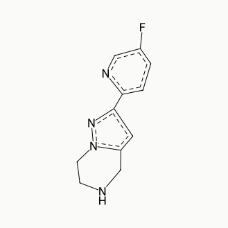 Fc1ccc(-c2cc3n(n2)CCNC3)nc1